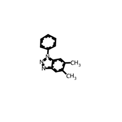 Cc1cc2nnn(-c3ccccc3)c2cc1C